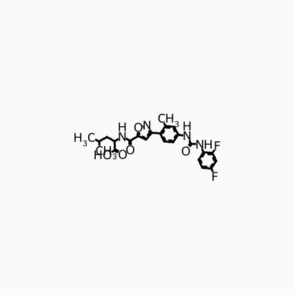 Cc1cc(NC(=O)Nc2ccc(F)cc2F)ccc1-c1cc(C(=O)NC(CC(C)C)C(=O)O)on1